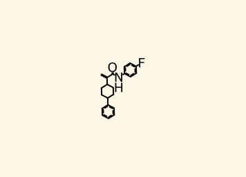 C=C(C(=O)Nc1ccc(F)cc1)C1CCC(c2ccccc2)CC1